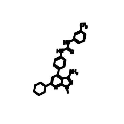 Cn1nc(N)c2c(-c3ccc(NC(=O)Nc4cccc(C(F)(F)F)c4)cc3)cc(C3CCCCC3)nc21